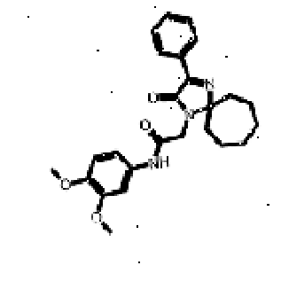 COc1ccc(NC(=O)CN2C(=O)C(c3ccccc3)=NC23CCCCCC3)cc1OC